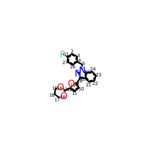 Fc1ccc(Cn2nc(-c3ccc(C4OCCCO4)o3)c3ccccc32)cc1